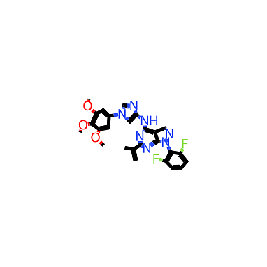 C=C(C)c1nc(Nc2cn(-c3cc(OC)c(OC)c(OC)c3)cn2)c2cnn(-c3c(F)cccc3F)c2n1